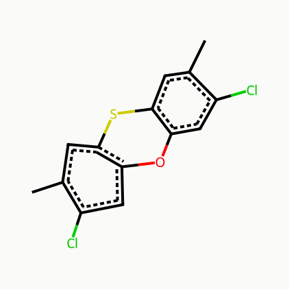 Cc1cc2c(cc1Cl)Oc1cc(Cl)c(C)cc1S2